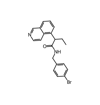 CCC(C(=O)NCc1ccc(Br)cc1)c1cccc2cnccc12